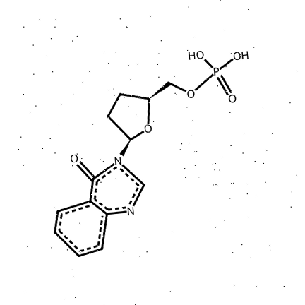 O=c1c2ccccc2ncn1[C@H]1CC[C@@H](COP(=O)(O)O)O1